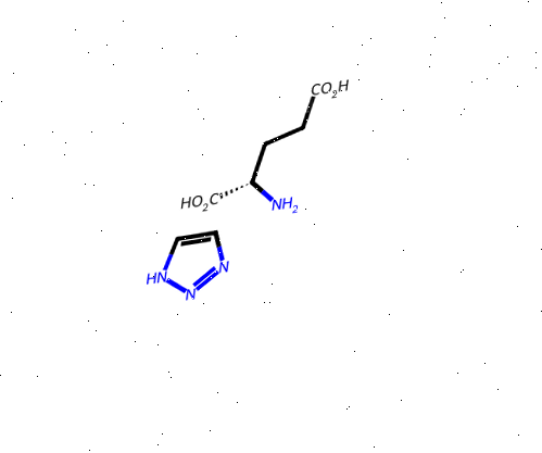 N[C@@H](CCC(=O)O)C(=O)O.c1c[nH]nn1